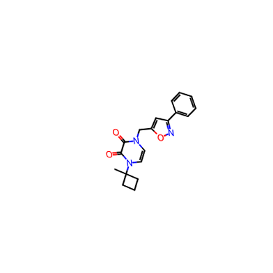 CC1(n2ccn(Cc3cc(-c4ccccc4)no3)c(=O)c2=O)CCC1